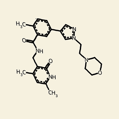 Cc1cc(C)c(CNC(=O)c2cc(-c3cnn(CCN4CCOCC4)c3)c[c]c2C)c(=O)[nH]1